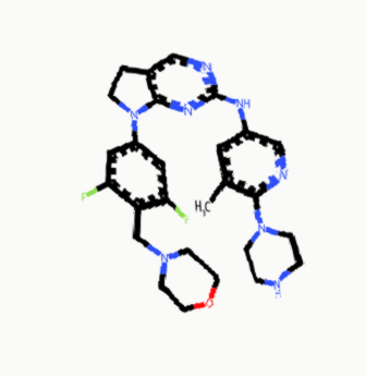 Cc1cc(Nc2ncc3c(n2)N(c2cc(F)c(CN4CCOCC4)c(F)c2)CC3)cnc1N1CCNCC1